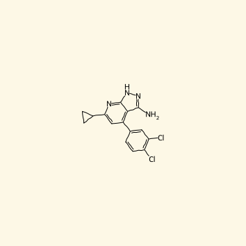 Nc1n[nH]c2nc(C3CC3)cc(-c3ccc(Cl)c(Cl)c3)c12